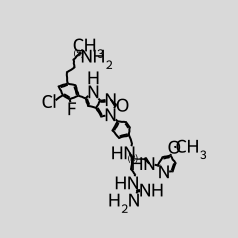 COc1ccnc(NC[C@@H](CCNC(=N)N)NCc2ccc(-n3cc4cc(-c5cc(CCC[C@H](C)N)cc(Cl)c5F)[nH]c4nc3=O)cc2)c1